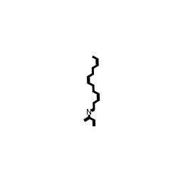 C=CC(=C)/N=C/C/C=C\CC/C=C\CC/C=C\C